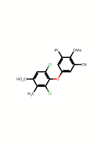 COc1c(C#N)cc(Oc2c(Cl)cc(C(=O)O)c(C)c2Cl)cc1C(C)C